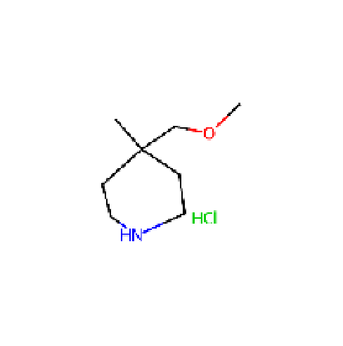 COCC1(C)CCNCC1.Cl